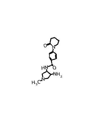 CN1CC(N)C(NC(=O)c2ccc(N3CCCCC3=O)cc2)C1